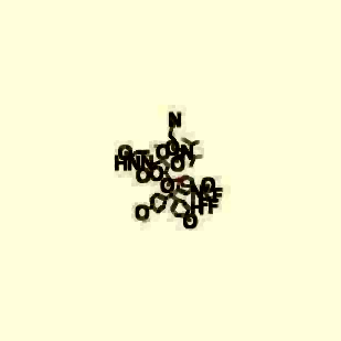 COc1ccc(C(OC(CCCNC(=O)C(F)(F)F)[C@H]2O[C@@H](n3ccc(=O)[nH]c3=O)C(OC)C2OP(OCCC#N)N(C(C)C)C(C)C)(c2ccccc2)c2ccc(OC)cc2)cc1